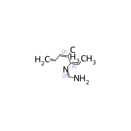 C=C\C=C(C)/C(=C\C)/N=C\N